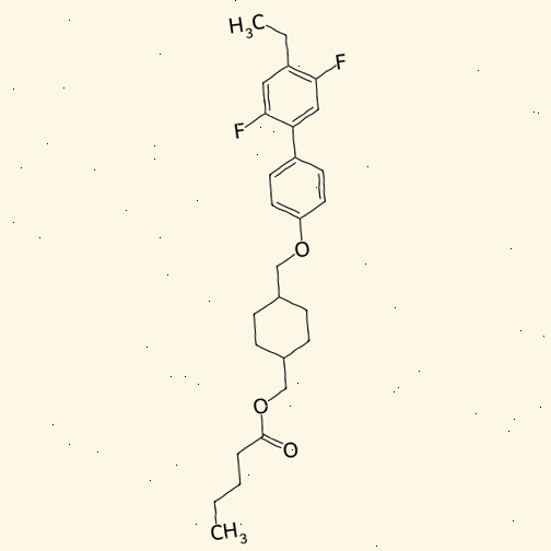 CCCCC(=O)OCC1CCC(COc2ccc(-c3cc(F)c(CC)cc3F)cc2)CC1